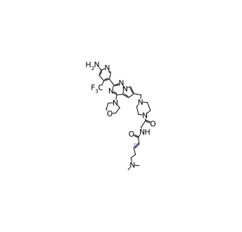 CN(C)CC/C=C/C(=O)NCC(=O)N1CCN(Cc2cc3c(N4CCOCC4)nc(-c4cnc(N)cc4C(F)(F)F)nn3c2)CC1